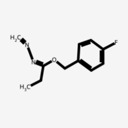 C=N/N=C(/CC)OCc1ccc(F)cc1